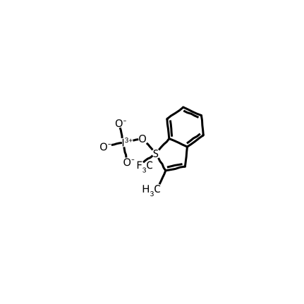 CC1=Cc2ccccc2S1(O[I+3]([O-])([O-])[O-])C(F)(F)F